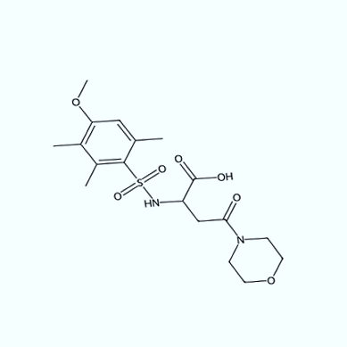 COc1cc(C)c(S(=O)(=O)NC(CC(=O)N2CCOCC2)C(=O)O)c(C)c1C